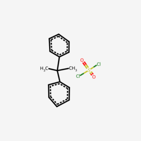 CC(C)(c1ccccc1)c1ccccc1.O=S(=O)(Cl)Cl